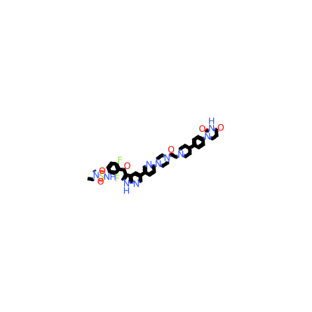 CCN(C)S(=O)(=O)Nc1ccc(F)c(C(=O)c2c[nH]c3ncc(-c4ccc(N5CCN(C(=O)CN6CCC(c7ccc(N8CCC(=O)NC8=O)cc7)CC6)CC5)nc4)cc23)c1F